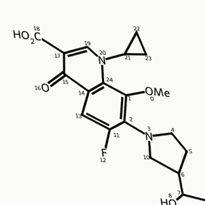 COc1c(N2CCC(C(O)O)C2)c(F)cc2c(=O)c(C(=O)O)cn(C3CC3)c12